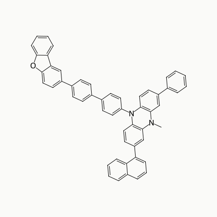 CN1c2cc(-c3ccccc3)ccc2N(c2ccc(-c3ccc(-c4ccc5oc6ccccc6c5c4)cc3)cc2)c2ccc(-c3cccc4ccccc34)cc21